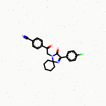 N#Cc1ccc(C(=O)CN2C(=O)C(c3ccc(Cl)cc3)=NC23CCCCC3)cc1